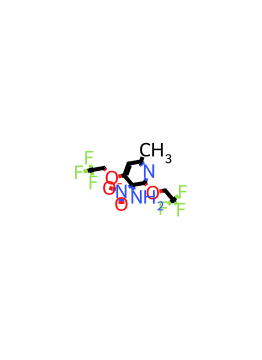 CC1=NC(OCC(F)(F)F)C(N)([N+](=O)[O-])C(OCC(F)(F)F)=C1